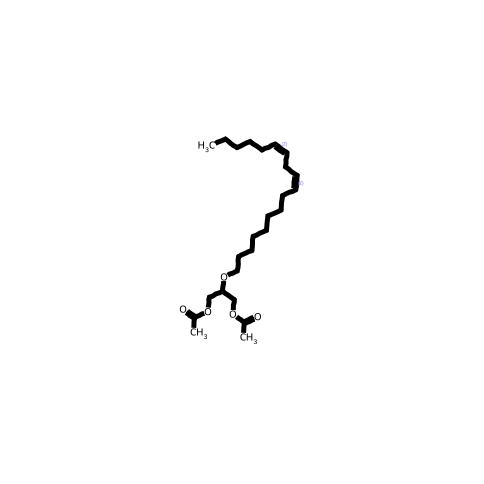 CCCCC/C=C\C/C=C\CCCCCCCCOC(COC(C)=O)COC(C)=O